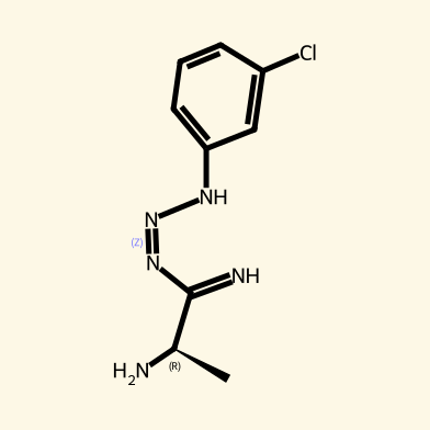 C[C@@H](N)C(=N)/N=N\Nc1cccc(Cl)c1